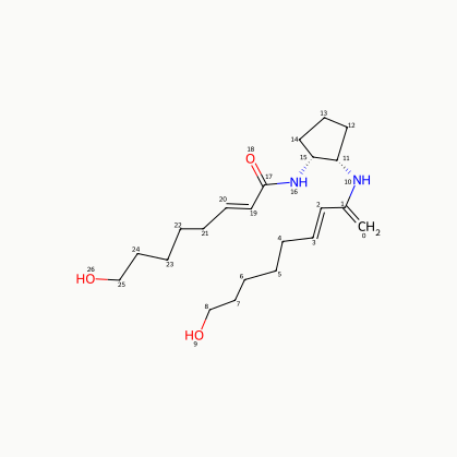 C=C(/C=C/CCCCCO)N[C@H]1CCC[C@H]1NC(=O)/C=C/CCCCCO